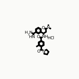 Cc1cc(C(=O)NC(CC(=O)N(C)C)c2cccc(C(=N)N)c2)ccc1C(=O)N1CCCC1.Cl